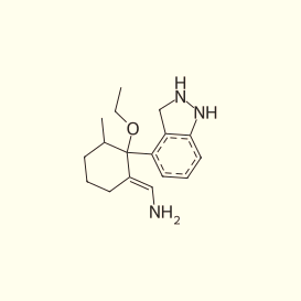 CCOC1(c2cccc3c2CNN3)/C(=C/N)CCCC1C